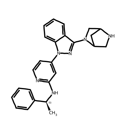 C[C@H](Nc1cc(-n2nc(N3CC4CC3CN4)c3ccccc32)ccn1)c1ccccc1